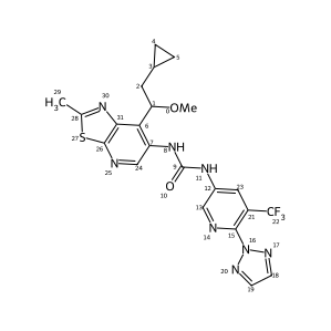 COC(CC1CC1)c1c(NC(=O)Nc2cnc(-n3nccn3)c(C(F)(F)F)c2)cnc2sc(C)nc12